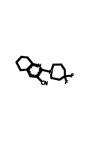 N#Cc1cc2c(nc1N1CCCC(F)(F)CC1)CCCC2